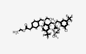 CCOC(=O)CC1CCC(CN(CC)c2ncc(C(F)(F)F)cc2CN(Cc2cc(Cl)cc(C(F)(F)F)c2)c2nnn(C)n2)CC1